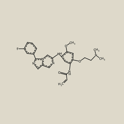 C=CC(=O)Nc1cc(Nc2cn3c(-c4cccc(F)c4)ncc3cn2)c(OC)cc1OCCN(C)C